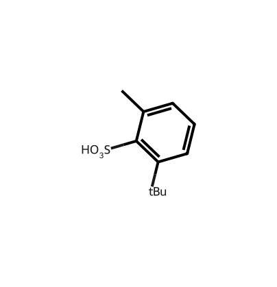 Cc1cccc(C(C)(C)C)c1S(=O)(=O)O